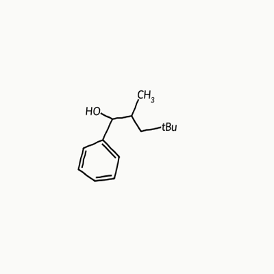 CC(CC(C)(C)C)C(O)c1ccccc1